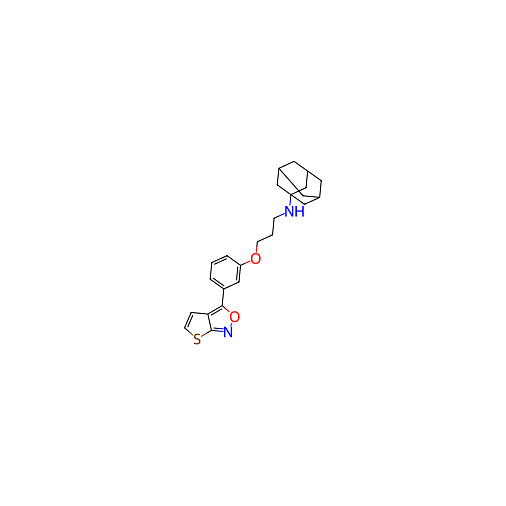 c1cc(OCCCNC23CC4CC(CC(C4)C2)C3)cc(-c2onc3sccc23)c1